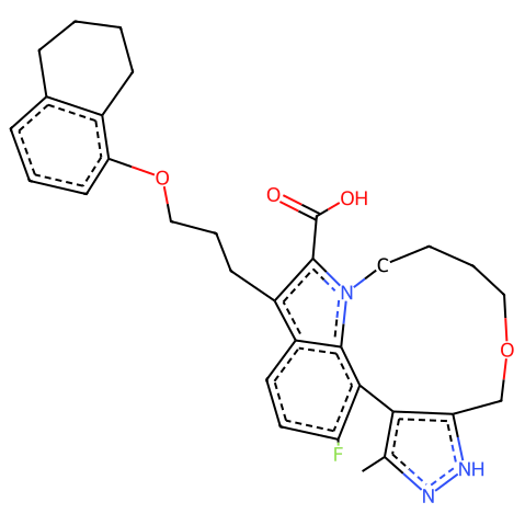 Cc1n[nH]c2c1-c1c(F)ccc3c(CCCOc4cccc5c4CCCC5)c(C(=O)O)n(c13)CCCCOC2